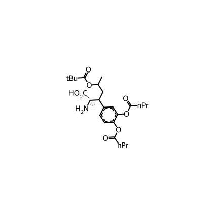 CCCC(=O)Oc1ccc(C(CC(C)OC(=O)C(C)(C)C)[C@H](N)C(=O)O)cc1OC(=O)CCC